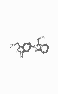 CC(C)Cc1n[nH]c2cc(-[n+]3nc4ccccn4c3CC(C)C)ccc12